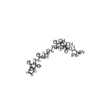 CC(C)N(CCOC(=O)C(C)(C)CC(C)(C)C(=O)OCCOCCNC(=O)CCN1C(=O)C2C3C=CC(O3)C2C1=O)C(C)C